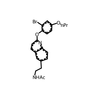 CCCOc1ccc(Oc2ccc3cc(CCNC(C)=O)ccc3n2)c(Br)c1